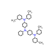 Cc1cccc(N(c2ccc(N(c3ccccc3)c3ccc(N(c4cccc(C)c4)c4cccc(C)c4)cc3)cc2)c2cccc(C)c2)c1